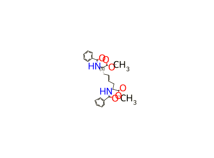 COC(=O)C(CC=CC[C@H](NC(=O)c1ccccc1)C(=O)OC)NC(=O)c1ccccc1